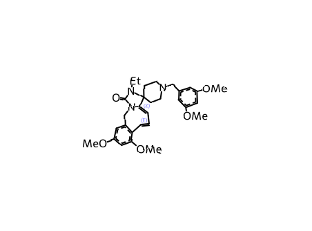 CCN1C(=O)N2Cc3cc(OC)cc(OC)c3/C=C/C=C\2C12CCN(Cc1cc(OC)cc(OC)c1)CC2